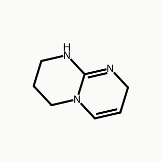 C1=CN2CCCNC2=NC1